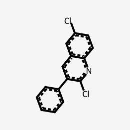 Clc1ccc2nc(Cl)c(-c3ccccc3)cc2c1